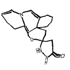 O=C1CC2(CC34CCCCC3=CN3C=CCCC3=C4O2)NN1